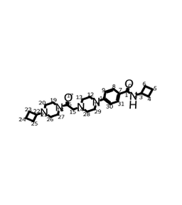 O=C(NC1CCC1)c1ccc(N2CCN(CC(=O)N3CCN(C4CCC4)CC3)CC2)cc1